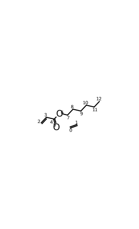 C=C.C=CC(=O)OCCCCCC